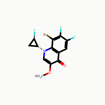 O=C(O)Oc1cn([C@@H]2C[C@H]2F)c2c(Br)c(F)c(F)cc2c1=O